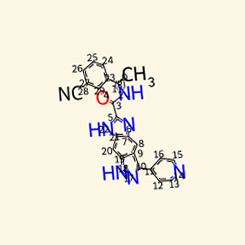 C[C@@H](NC(=O)c1nc2cc3c(-c4ccncc4)n[nH]c3cc2[nH]1)c1cccc(C#N)c1